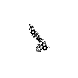 CC(C)(C)OC(=O)NC(C(=O)N1Cc2cn(S(=O)(=O)c3ccc(OC(F)F)cc3)nc2C1)c1cccc(F)c1